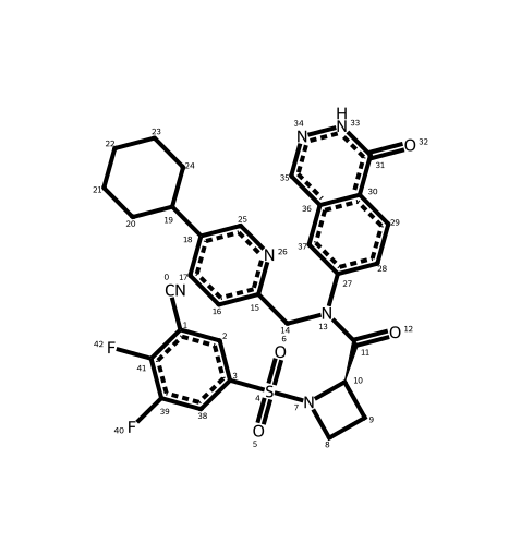 N#Cc1cc(S(=O)(=O)N2CC[C@@H]2C(=O)N(Cc2ccc(C3CCCCC3)cn2)c2ccc3c(=O)[nH]ncc3c2)cc(F)c1F